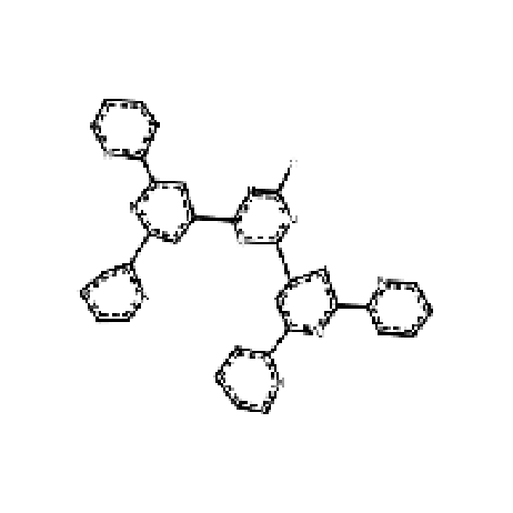 Clc1nc(-c2cc(-c3ccccn3)nc(-c3ccccn3)c2)nc(-c2cc(-c3ccccn3)nc(-c3ccccn3)c2)n1